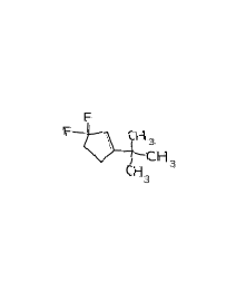 CC(C)(C)C1=CC(F)(F)CC1